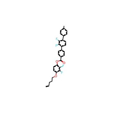 C=CCCCOc1ccc(OC(=O)c2ccc(-c3ccc(-c4ccc(C)cc4)c(F)c3F)cc2)c(F)c1F